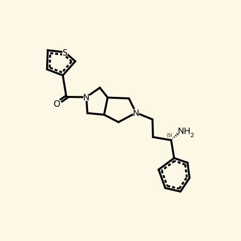 N[C@@H](CCN1CC2CN(C(=O)c3ccsc3)CC2C1)c1ccccc1